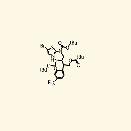 CC(C)(C)OC(=O)NC(CN(C(=O)OC(C)(C)C)c1ncc(Br)s1)C(COC(=O)C(C)(C)C)c1ccc(C(F)(F)F)cc1